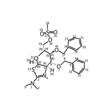 CN(C)C1=N[C@@H]2[C@@H](OCc3ccccc3)[C@H](OCc3ccccc3)[C@@H](COS(C)(=O)=O)O[C@@H]2S1